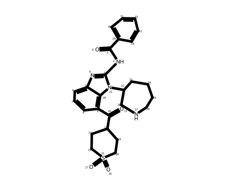 O=C(Nc1nc2cccc(C(=O)C3CCS(=O)(=O)CC3)c2n1C1CCCCNC1)c1ccccc1